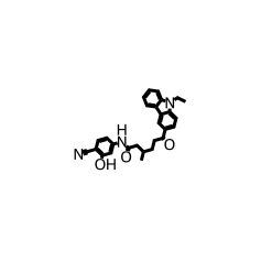 CCn1c2ccccc2c2cc(C(=O)CCC(C)CC(=O)Nc3ccc(C#N)c(O)c3)ccc21